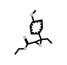 CCOC(=O)C1OC1(CC)c1ccc(OC)cc1